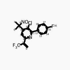 C=C(c1cc(C(C)(C)N=O)c(Cl)c(-c2ccc(F)cc2)n1)C(F)(F)F